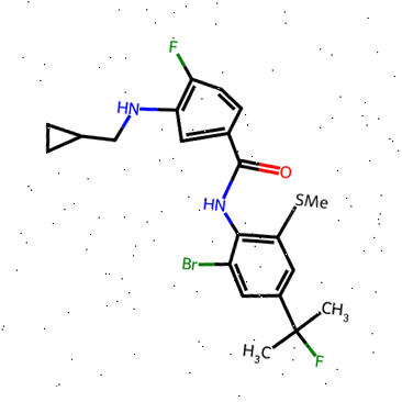 CSc1cc(C(C)(C)F)cc(Br)c1NC(=O)c1ccc(F)c(NCC2CC2)c1